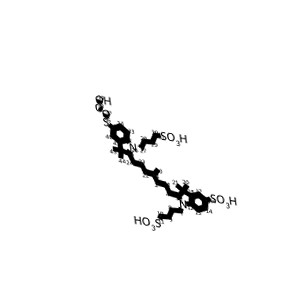 CC(/C=C/C=C1/N(CCCCS(=O)(=O)O)c2ccc(S(=O)(=O)O)cc2C1(C)C)=C\C=C\C1=[N+](CCCCS(=O)(=O)O)c2ccc(SOOO)cc2C1(C)C